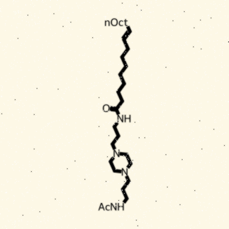 CCCCCCCC/C=C/CCCCCCCC(=O)NCCCN1CCN(CCCNC(C)=O)CC1